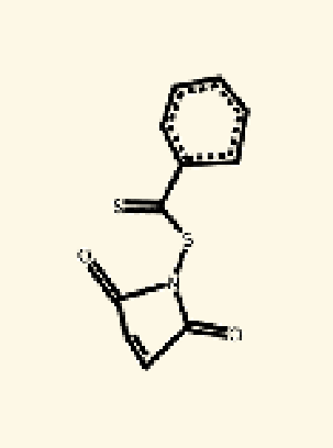 O=C1C=CC(=O)N1SC(=S)c1ccccc1